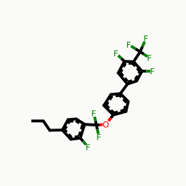 CCCc1ccc(C(F)(F)Oc2ccc(-c3cc(F)c(C(F)(F)F)c(F)c3)cc2)c(F)c1